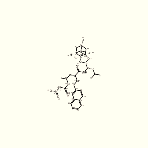 CC(C)C[C@H](NC(=O)[C@H](CC(C)NC(=N)N[N+](=O)[O-])NCc1ccc2ccccc2c1)B1O[C@@H]2C[C@@H]3C[C@@H](C3(C)C)[C@]2(C)O1